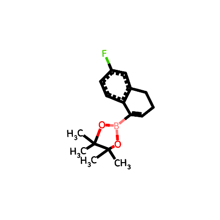 CC1(C)OB(C2=CCCc3cc(F)ccc32)OC1(C)C